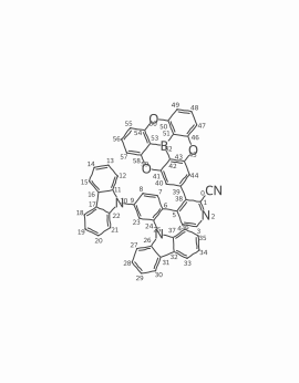 N#Cc1nccc(-c2ccc(-n3c4ccccc4c4ccccc43)cc2-n2c3ccccc3c3ccccc32)c1-c1cc2c3c(c1)Oc1cccc4c1B3c1c(cccc1O2)O4